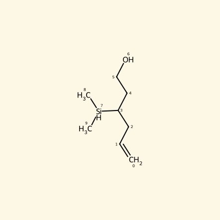 C=CCC(CCO)[SiH](C)C